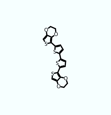 c1cc(-c2scc3c2OCCO3)sc1-c1ccc(-c2scc3c2OCCO3)s1